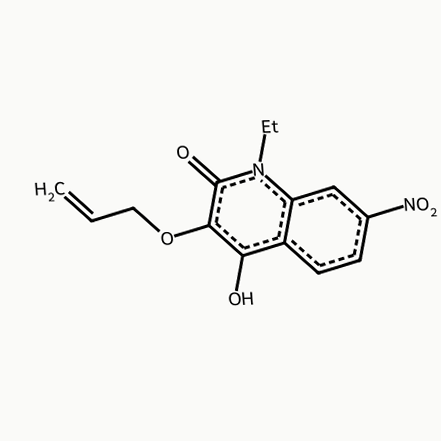 C=CCOc1c(O)c2ccc([N+](=O)[O-])cc2n(CC)c1=O